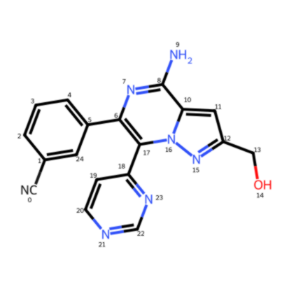 N#Cc1cccc(-c2nc(N)c3cc(CO)nn3c2-c2ccncn2)c1